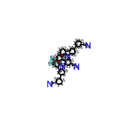 N#Cc1cccc(-c2ccc3c(c2)c2ccccc2n3-c2cc(C#N)cc(-n3c4ccccc4c4cc(-c5cccc(C#N)c5)ccc43)c2-c2cccc(C(F)(F)F)c2)c1